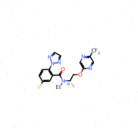 CCN(C(=O)c1cc(F)ccc1-n1nccn1)[C@@H](C)COc1cnc(C(F)(F)F)cn1